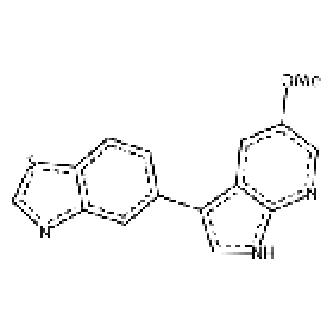 COc1cnc2[nH]cc(-c3ccc4scnc4c3)c2c1